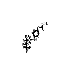 CC(=O)Oc1ccc(NS(=O)(=O)C(F)(F)C(F)(F)C(F)(F)F)cc1